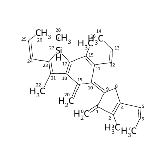 C=C1C(C)=C(/C=C\C)C/C1=c1\c(/C=C\C)c(C)c2c(c1=C)C(C)=C(/C=C\C)[SiH]2C